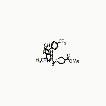 COC(=O)C1CCN(C(=S)N/N=C(/C)c2nn(C)c(-c3ccc(C(F)(F)F)cc3)c2O)CC1